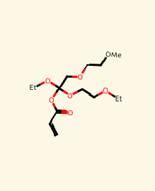 C=CC(=O)OC(COCCOC)(OCC)OCCOCC